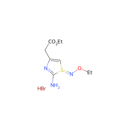 Br.CCON=S1C=C(CC(=O)OCC)N=C1N